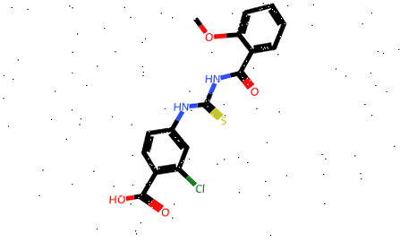 COc1ccccc1C(=O)NC(=S)Nc1ccc(C(=O)O)c(Cl)c1